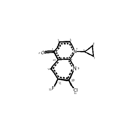 O=c1ccn(C2CC2)c2nc(Cl)c(F)cc12